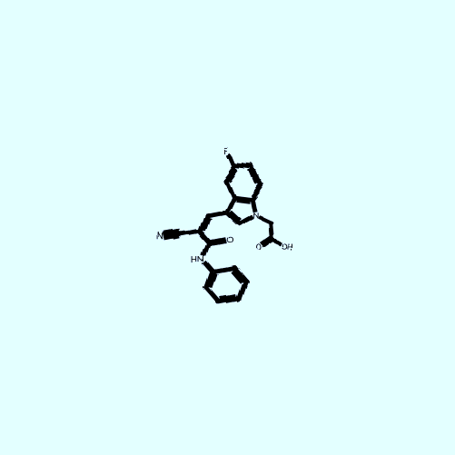 N#CC(=Cc1cn(CC(=O)O)c2ccc(F)cc12)C(=O)Nc1ccccc1